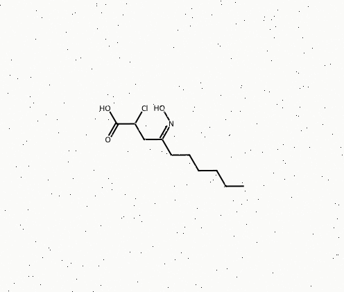 CCCCCCC(CC(Cl)C(=O)O)=NO